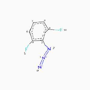 [N-]=[N+]=Nc1c(F)[c]ccc1F